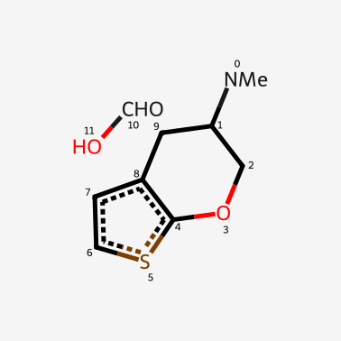 CNC1COc2sccc2C1.O=CO